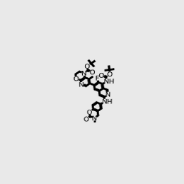 Cc1c(-c2cc3cc(Nc4ccc5c(c4)CN(C)C(=O)O5)ncc3c(NC(=O)OC(C)(C)C)c2F)cnc2c1N(C(=O)OC(C)(C)C)CCO2